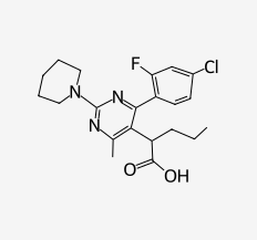 CCCC(C(=O)O)c1c(C)nc(N2CCCCC2)nc1-c1ccc(Cl)cc1F